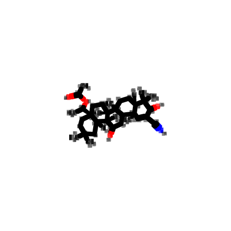 CC(=O)OC(C)[C@]12CCC(C)(C)C[C@H]1[C@H]1C(=O)CC3[C@@]4(C)C=C(C#N)C(=O)C(C)(C)[C@@H]4CC[C@@]3(C)[C@]1(C)CC2